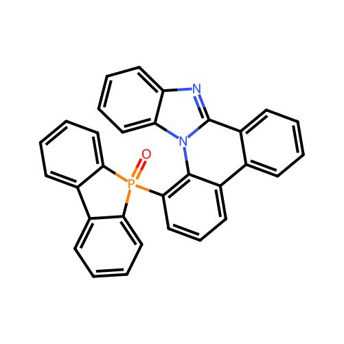 O=P1(c2cccc3c4ccccc4c4nc5ccccc5n4c23)c2ccccc2-c2ccccc21